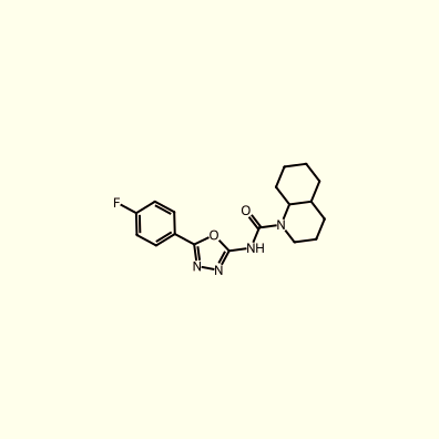 O=C(Nc1nnc(-c2ccc(F)cc2)o1)N1CCCC2CCCCC21